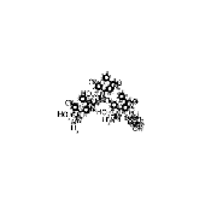 Cn1c(=O)cc(-c2ccccc2)c2cc(C(c3ccc(Cl)cc3)n3cnc(N)c3C(=O)O)ccc21.Cn1c(=O)cc(-c2ccccc2)c2cc(C(c3ccc(Cl)cc3)n3cnc(N)c3C(=O)O)ccc21.Cn1c(=O)cc(-c2ccccc2)c2cc(C(c3ccc(Cl)cc3)n3cnc(N)c3C(=O)O)ccc21.O=C(O)C(=O)O.O=C(O)C(=O)O